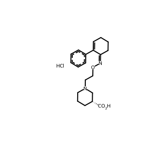 Cl.O=C(O)[C@@H]1CCCN(CCON=C2CCCC=C2c2ccccc2)C1